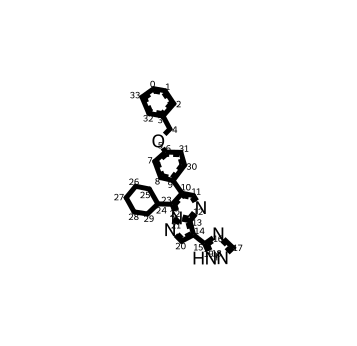 c1ccc(COc2ccc(-c3cnc4c(-c5ncn[nH]5)cnn4c3C3CCCCC3)cc2)cc1